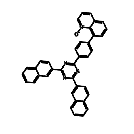 [O-][n+]1cccc2cccc(-c3ccc(-c4nc(-c5ccc6ccccc6c5)nc(-c5ccc6ccccc6c5)n4)cc3)c21